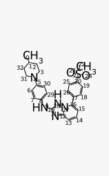 CC1CCN(c2ccc(NC3N=C4C=CC=C(c5ccc(S(C)(=O)=O)cc5)N4N3)cc2)CC1